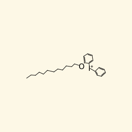 CCCCCCCCCCCCOc1ccccc1[I+]c1ccccc1